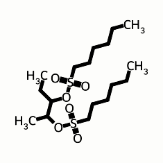 CCCCCCS(=O)(=O)OC(C)C(CC)OS(=O)(=O)CCCCCC